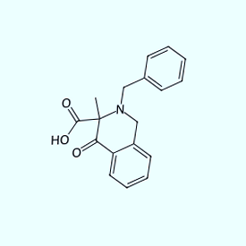 CC1(C(=O)O)C(=O)c2ccccc2CN1Cc1ccccc1